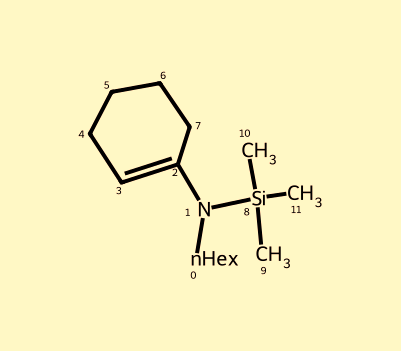 CCCCCCN(C1=CCCCC1)[Si](C)(C)C